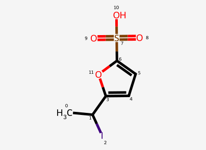 CC(I)c1ccc(S(=O)(=O)O)o1